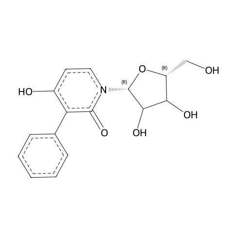 O=c1c(-c2ccccc2)c(O)ccn1[C@@H]1O[C@H](CO)C(O)C1O